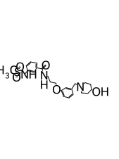 CS(=O)(=O)Nc1cccc(C(=O)NCCCOc2cccc(CN3CCC(O)CC3)c2)c1